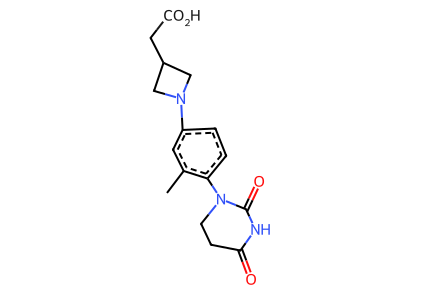 Cc1cc(N2CC(CC(=O)O)C2)ccc1N1CCC(=O)NC1=O